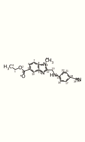 CCOC(=O)c1ccc2c(c1)nc(CNc1ccc(C#N)cc1)n2C